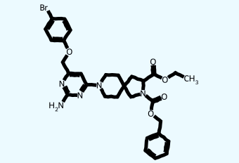 CCOC(=O)C1CC2(CCN(c3cc(COc4ccc(Br)cc4)nc(N)n3)CC2)CN1C(=O)OCc1ccccc1